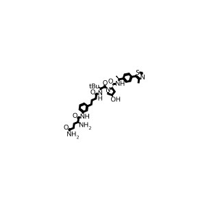 Cc1ncsc1-c1ccc([C@H](C)NC(=O)[C@@H]2C[C@@H](O)CN2C(=O)[C@@H](NC(=O)CCCc2cccc(NC(=O)[C@@H](N)CCC(N)=O)c2)C(C)(C)C)cc1